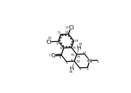 CN1CC[C@H]2CC(=O)c3c(Cl)cc(Cl)cc3[C@H]2C1